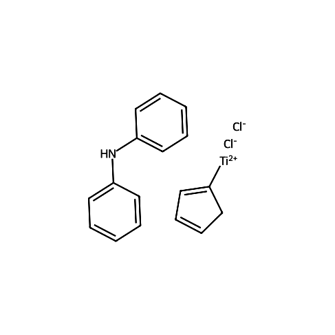 [Cl-].[Cl-].[Ti+2][C]1=CC=CC1.c1ccc(Nc2ccccc2)cc1